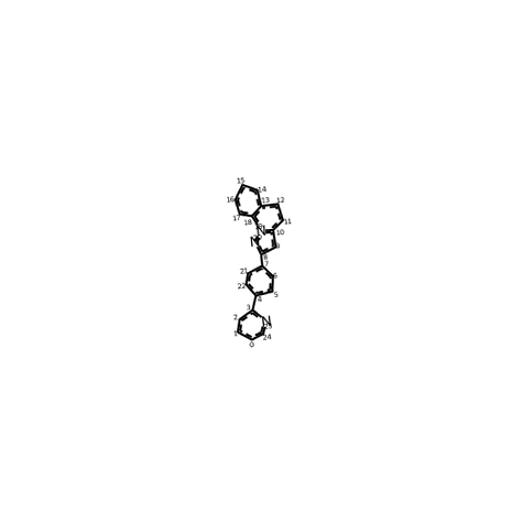 c1ccc(-c2ccc(-c3cc4ccc5ccccc5n4n3)cc2)nc1